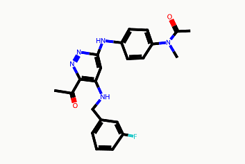 CC(=O)c1nnc(Nc2ccc(N(C)C(C)=O)cc2)cc1NCc1cccc(F)c1